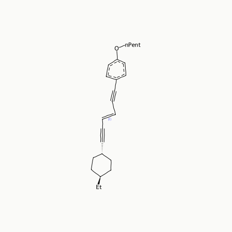 CCCCCOc1ccc(C#C/C=C/C#C[C@H]2CC[C@H](CC)CC2)cc1